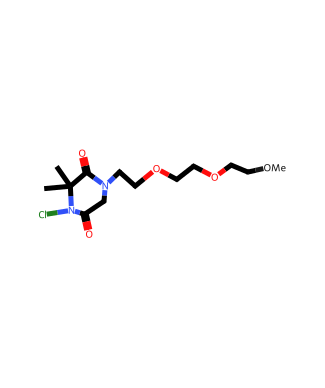 COCCOCCOCCN1CC(=O)N(Cl)C(C)(C)C1=O